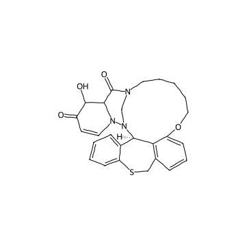 O=C1C=CN2C(C(=O)N3CCCCCOc4cccc5c4[C@@H](c4ccccc4SC5)N2C3)C1O